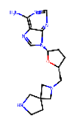 Nc1ncnc2c1ncn2[C@H]1CC[C@@H](CN2CC3(CCNC3)C2)O1